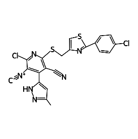 [C-]#[N+]c1c(Cl)nc(SCc2csc(-c3ccc(Cl)cc3)n2)c(C#N)c1-c1cc(C)n[nH]1